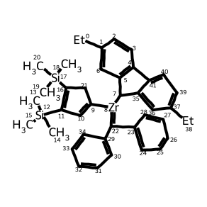 CCc1ccc2c(c1)[CH]([Zr]([C]1=CC([Si](C)(C)C)=C([Si](C)(C)C)C1)=[C](c1ccccc1)c1ccccc1)c1cc(CC)ccc1-2